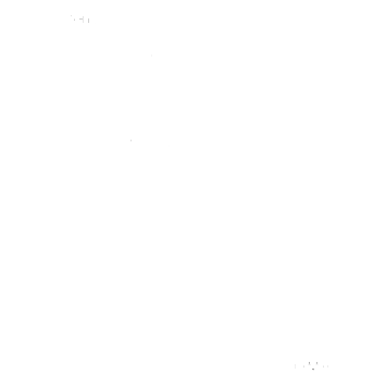 CCCCCc1cc2sc(-c3ccc(-c4ccc(OC)cc4)cc3)cc2s1